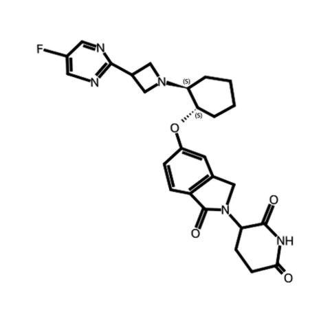 O=C1CCC(N2Cc3cc(O[C@H]4CCCC[C@@H]4N4CC(c5ncc(F)cn5)C4)ccc3C2=O)C(=O)N1